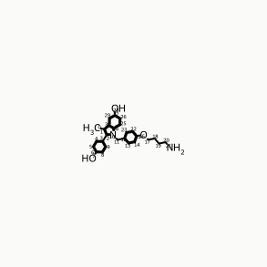 Cc1c(-c2ccc(O)cc2)n(Cc2ccc(OCCCCN)cc2)c2ccc(O)cc12